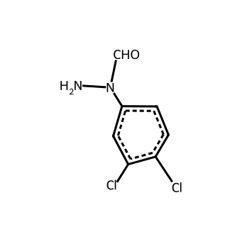 NN(C=O)c1ccc(Cl)c(Cl)c1